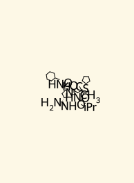 CC(C)OC(=O)N[C@@H](C(=O)N1C[C@H](C(=N)N)C[C@H]1C(=O)NCC1CCCCC1)C(C)(C)SC1CCCC1